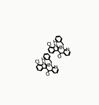 O=C(c1cccnc1NCc1ccccc1)c1c[nH]c2c(Cl)cccc12.O=C(c1cccnc1NCc1ccccc1)c1c[nH]c2c(Cl)cccc12